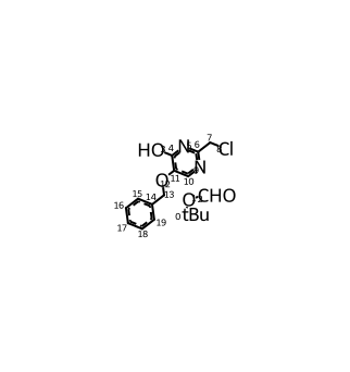 CC(C)(C)OC=O.Oc1nc(CCl)ncc1OCc1ccccc1